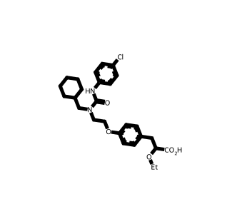 CCOC(Cc1ccc(OCCN(CC2CCCCC2)C(=O)Nc2ccc(Cl)cc2)cc1)C(=O)O